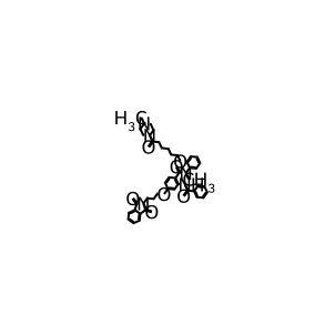 CN1CCN(C(=O)CCCCCOc2ccccc2N(C)C(=O)c2ccc(OCCCN3C(=O)c4ccccc4C3=O)cc2NC(=O)c2ccccc2)CC1